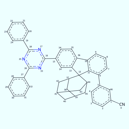 N#Cc1cccc(-c2cccc3c2C2(c4cc(-c5nc(-c6ccccc6)nc(-c6ccccc6)n5)ccc4-3)C3CC4CC(C3)CC2C4)c1